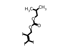 CC(C)COC(=O)OCC(I)=C(I)I